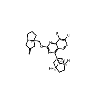 C=C1CN2CCC[C@]2(COc2nc(N3C[C@H]4CC[C@@H](C3)N4C(=O)O)c3cnc(Cl)c(F)c3n2)C1